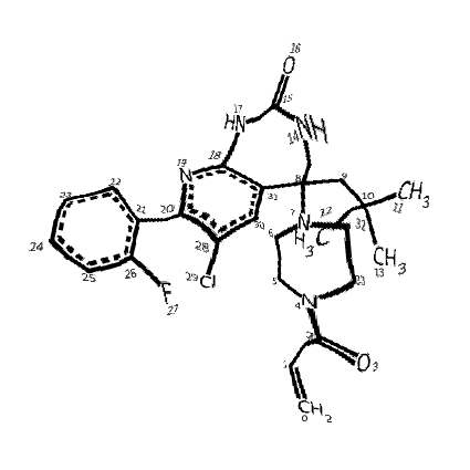 C=CC(=O)N1CCN(C2(CC(C)(C)C)NC(=O)Nc3nc(-c4ccccc4F)c(Cl)cc32)CC1